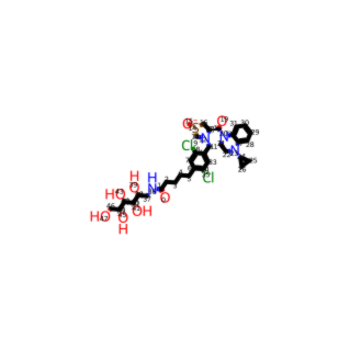 O=C(CCCCc1cc(Cl)c(CN2C[S+]([O-])C[C@H]2C(=O)N2CCN(C3CC3)c3ccccc32)cc1Cl)NC[C@H](O)[C@@H](O)[C@H](O)[C@H](O)CO